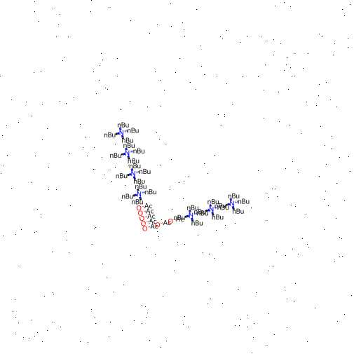 CC(=O)[O-].CC(=O)[O-].CC(=O)[O-].CC(=O)[O-].CC(=O)[O-].CC(=O)[O-].CC(=O)[O-].CCCC[N+](CCCC)(CCCC)CCCC.CCCC[N+](CCCC)(CCCC)CCCC.CCCC[N+](CCCC)(CCCC)CCCC.CCCC[N+](CCCC)(CCCC)CCCC.CCCC[N+](CCCC)(CCCC)CCCC.CCCC[N+](CCCC)(CCCC)CCCC.CCCC[N+](CCCC)(CCCC)CCCC